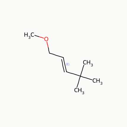 COC/C=C/C(C)(C)C